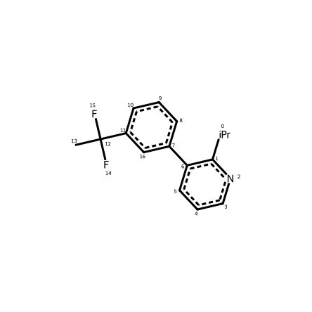 CC(C)c1ncccc1-c1cccc(C(C)(F)F)c1